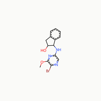 COc1nc(NC2c3ccccc3CC2O)cnc1Br